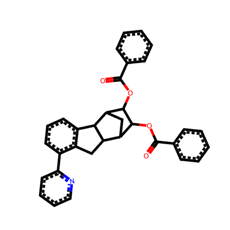 O=C(OC1C2CC(C1OC(=O)c1ccccc1)C1c3cccc(-c4ccccn4)c3CC21)c1ccccc1